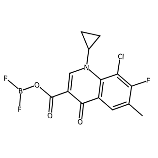 Cc1cc2c(=O)c(C(=O)OB(F)F)cn(C3CC3)c2c(Cl)c1F